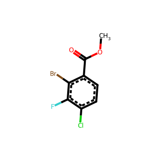 COC(=O)c1ccc(Cl)c(F)c1Br